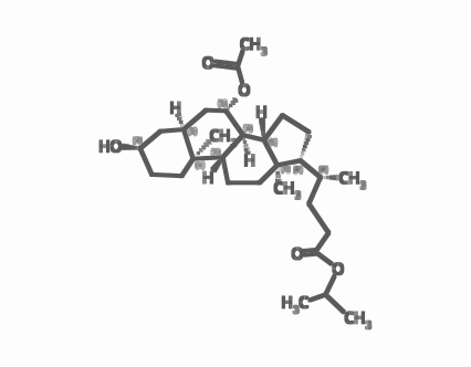 CC(=O)O[C@H]1C[C@@H]2C[C@H](O)CC[C@]2(C)[C@H]2CC[C@]3(C)[C@@H]([C@H](C)CCC(=O)OC(C)C)CC[C@H]3[C@H]12